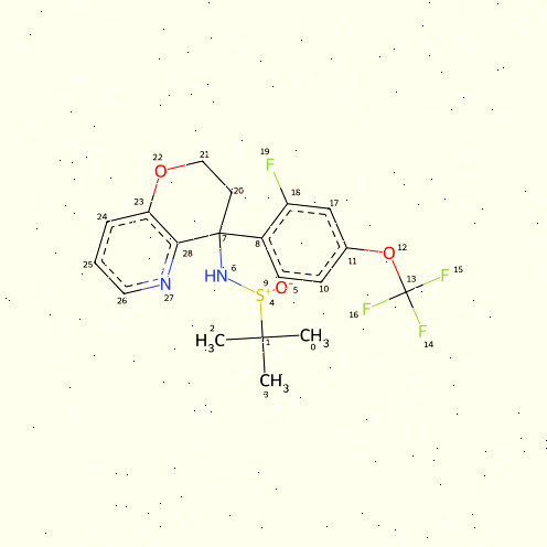 CC(C)(C)[S+]([O-])NC1(c2ccc(OC(F)(F)F)cc2F)CCOc2cccnc21